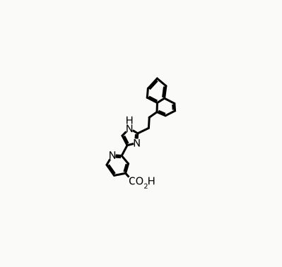 O=C(O)c1ccnc(-c2c[nH]c(CCc3cccc4ccccc34)n2)c1